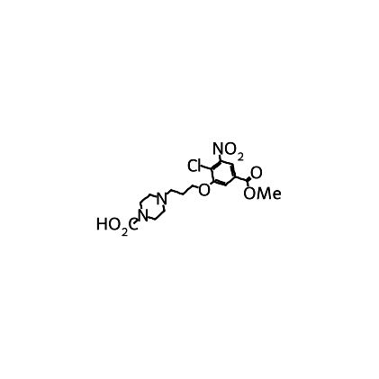 COC(=O)c1cc(OCCCN2CCN(C(=O)O)CC2)c(Cl)c([N+](=O)[O-])c1